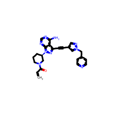 C=CC(=O)N1CCC[C@@H](n2nc(C#Cc3cnn(Cc4ccncc4)c3)c3c(N)ncnc32)C1